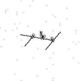 CCCCCCCCCCN(CCCCCCCCCC)C(=O)CCCCCCCN(CCCCCCCC(=O)N(CCCCCCCCCC)CCCCCCCCCC)C(=O)OCCN(C)C